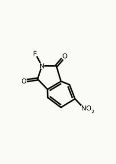 O=C1c2ccc([N+](=O)[O-])cc2C(=O)N1F